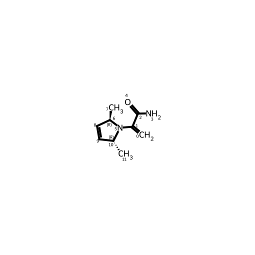 C=C(C(N)=O)N1[C@H](C)C=C[C@H]1C